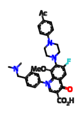 COc1c(N2CCN(c3ccc(C(C)=O)cc3)CC2)c(F)cc2c(=O)c(C(=O)O)cn(-c3ccc(CN(C)C)cc3)c12